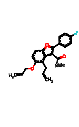 C=CCOc1ccc2oc(-c3ccc(F)cc3)c(C(=O)NC)c2c1CC=C